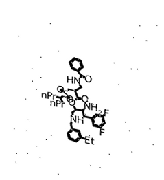 CCCC(CCC)S(=O)(=O)C[C@@H](CNC(=O)c1ccccc1)C(=O)OC(CNCc1cccc(CC)c1)C(N)Cc1cc(F)cc(F)c1